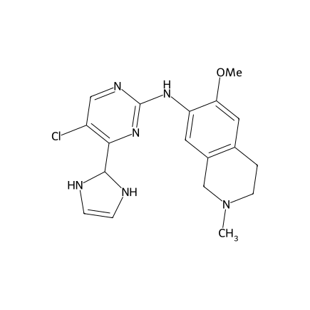 COc1cc2c(cc1Nc1ncc(Cl)c(C3NC=CN3)n1)CN(C)CC2